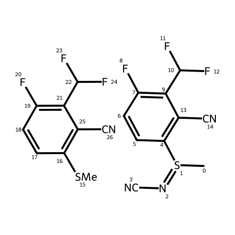 C/S(=N/C#N)c1ccc(F)c(C(F)F)c1C#N.CSc1ccc(F)c(C(F)F)c1C#N